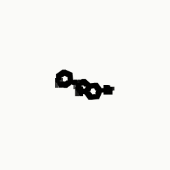 Brc1ccc2nn(-c3cccnc3)cc2c1